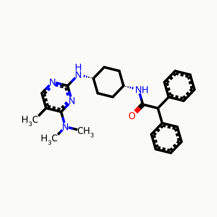 Cc1cnc(N[C@H]2CC[C@@H](NC(=O)C(c3ccccc3)c3ccccc3)CC2)nc1N(C)C